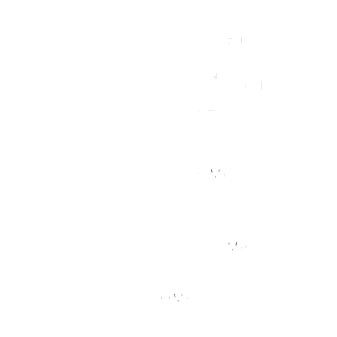 COc1cc(/C=C\c2ccc(O[Si](C)(C)C(C)(C)C)cc2)cc(OC)c1OC